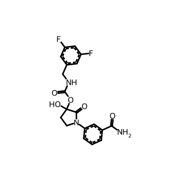 NC(=O)c1cccc(N2CCC(O)(OC(=O)NCc3cc(F)cc(F)c3)C2=O)c1